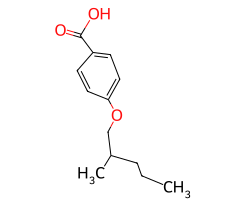 CCCC(C)COc1ccc(C(=O)O)cc1